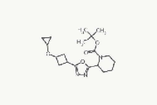 CC(C)(C)OC(=O)N1CCCCC1c1nnc(C2CC(OC3CC3)C2)o1